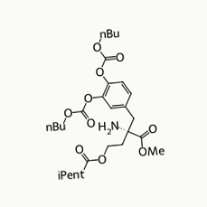 CCCCOC(=O)Oc1ccc(C[C@](N)(CCOC(=O)C(C)CCC)C(=O)OC)cc1OC(=O)OCCCC